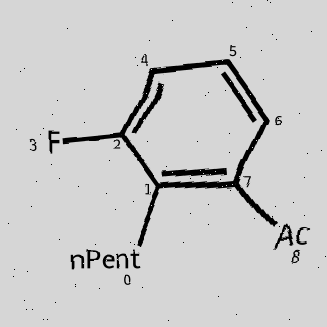 C[CH]CCCc1c(F)cccc1C(C)=O